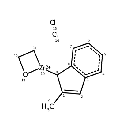 CC1=Cc2ccccc2[CH]1[Zr+2]1[CH2]C[O]1.[Cl-].[Cl-]